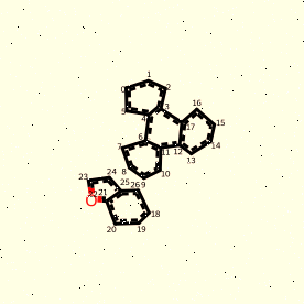 c1ccc2c(c1)c1ccccc1c1ccccc21.c1ccc2occc2c1